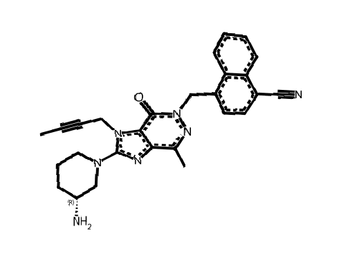 CC#CCn1c(N2CCC[C@@H](N)C2)nc2c(C)nn(Cc3ccc(C#N)c4ccccc34)c(=O)c21